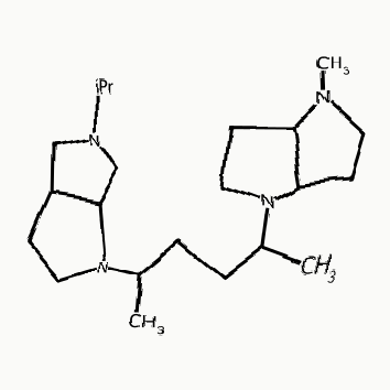 CC(C)N1CC2CCN(C(C)CCC(C)N3CCC4C3CCN4C)C2C1